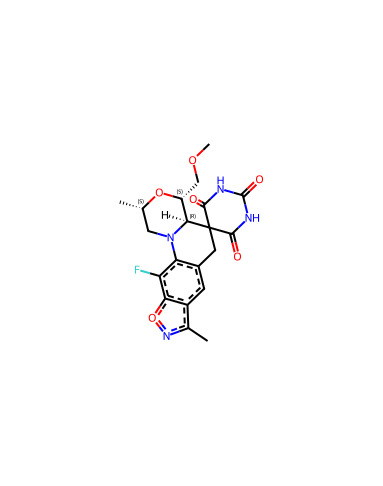 COC[C@H]1O[C@@H](C)CN2c3c(cc4c(C)noc4c3F)CC3(C(=O)NC(=O)NC3=O)[C@H]12